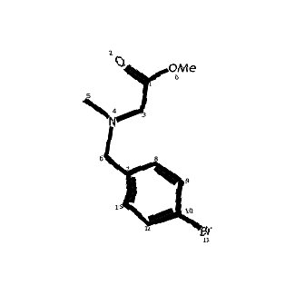 COC(=O)CN(C)Cc1ccc(Br)cc1